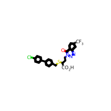 O=C(O)C(CCn1nnc2cc(C(F)(F)F)ccc2c1=O)SCc1ccc(-c2ccc(Cl)cc2)cc1